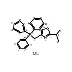 CC(C)c1nc(C[P+](c2ccccc2)(c2ccccc2)c2ccccc2)cs1.[Cl-]